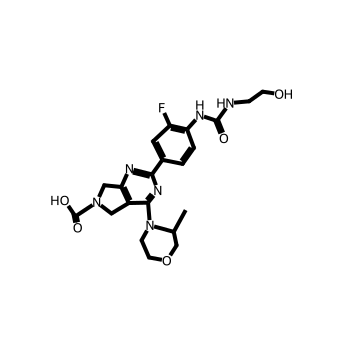 CC1COCCN1c1nc(-c2ccc(NC(=O)NCCO)c(F)c2)nc2c1CN(C(=O)O)C2